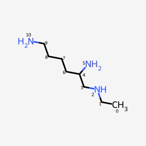 CCNCC(N)CCCCN